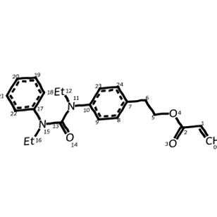 C=CC(=O)OCCc1ccc(N(CC)C(=O)N(CC)c2ccccc2)cc1